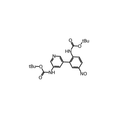 CC(C)(C)OC(=O)Nc1cncc(-c2cc(N=O)ccc2NC(=O)OC(C)(C)C)c1